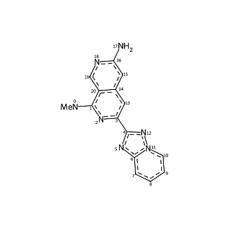 CNc1nc(-c2nc3ccccn3n2)cc2cc(N)ncc12